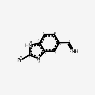 CC(C)c1nc2cc(C=N)ccc2[nH]1